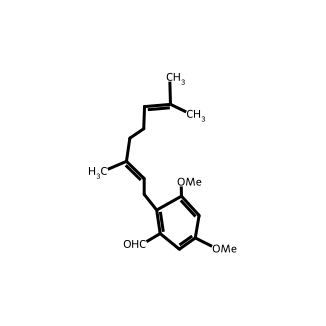 COc1cc(C=O)c(C/C=C(\C)CCC=C(C)C)c(OC)c1